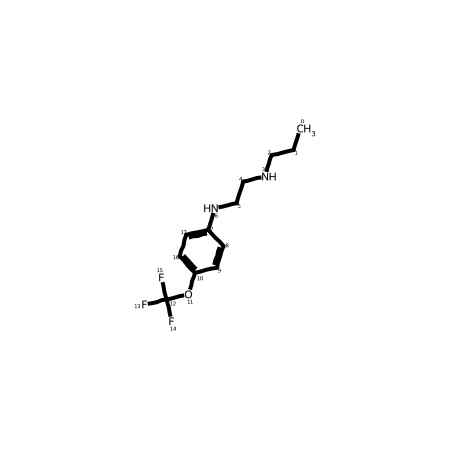 CCCNCCNc1ccc(OC(F)(F)F)cc1